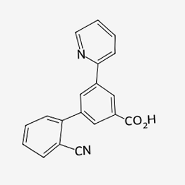 N#Cc1ccccc1-c1cc(C(=O)O)cc(-c2ccccn2)c1